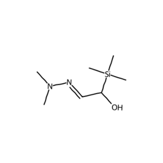 CN(C)N=CC(O)[Si](C)(C)C